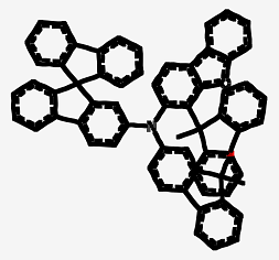 CC1(C)c2ccccc2-c2ccc(N(c3ccc4c(c3)C3(c5ccccc5-c5ccccc53)c3ccccc3-4)c3ccc4c(oc5ccccc54)c3C3(C)c4ccccc4-c4ccccc43)cc21